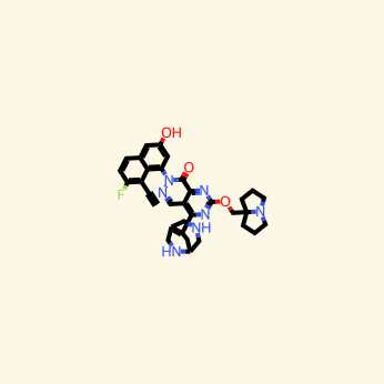 C#Cc1c(F)ccc2cc(O)cc(-n3ncc4c(C5=C6CNCC(C5)NC6)nc(OCC56CCCN5CCC6)nc4c3=O)c12